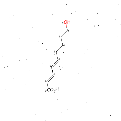 O=C(O)C=CC=CCCCCO